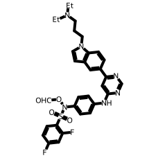 CCN(CC)CCCn1ccc2cc(-c3cc(Nc4ccc(N(OC=O)S(=O)(=O)c5ccc(F)cc5F)cc4)ncn3)ccc21